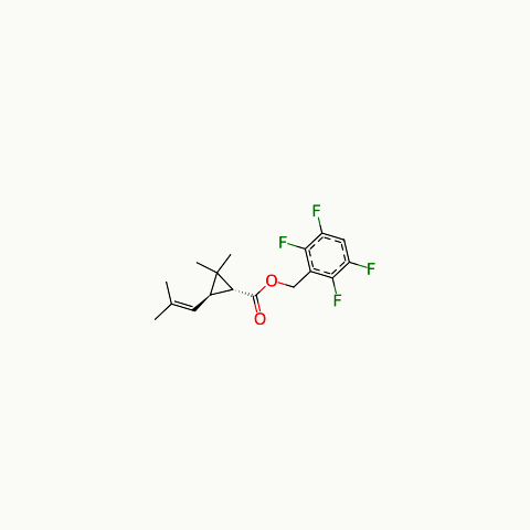 CC(C)=C[C@@H]1[C@@H](C(=O)OCc2c(F)c(F)cc(F)c2F)C1(C)C